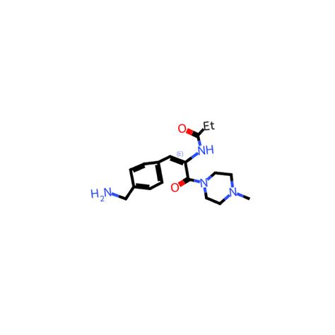 CCC(=O)N/C(=C/c1ccc(CN)cc1)C(=O)N1CCN(C)CC1